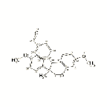 COc1ccc(C2(C)CSc3cc(OC)ccc3C2c2ccc(C=O)cc2)cc1